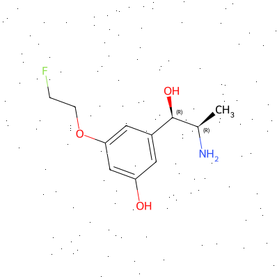 C[C@@H](N)[C@H](O)c1cc(O)cc(OCCF)c1